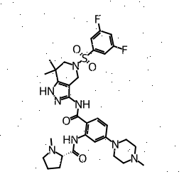 CN1CCN(c2ccc(C(=O)Nc3n[nH]c4c3CN(S(=O)(=O)c3cc(F)cc(F)c3)CC4(C)C)c(NC(=O)[C@@H]3CCCN3C)c2)CC1